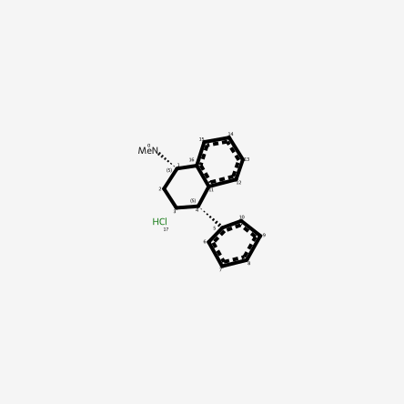 CN[C@H]1CC[C@@H](c2ccccc2)c2ccccc21.Cl